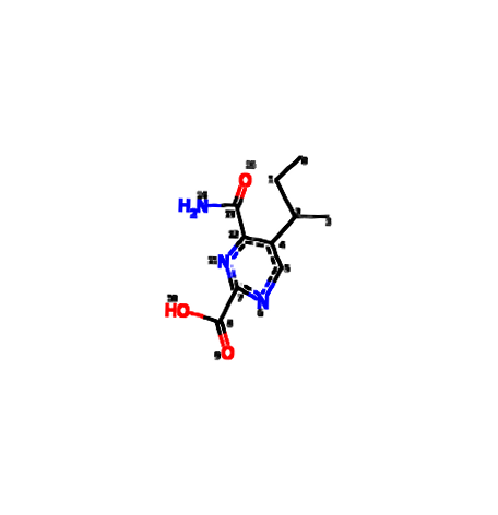 CCC(C)c1cnc(C(=O)O)nc1C(N)=O